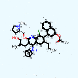 C=C(CO)Cc1c(OC[C@@H]2CCCN2C)nc2c(F)c(-c3cc(OC(=O)C(C)(C)C)cc4ccccc34)c(CCC#N)cc2c1NC1C2CCC1C2